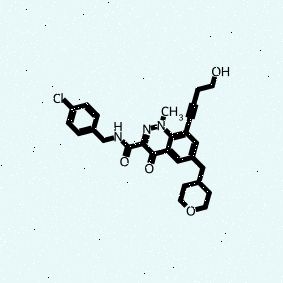 Cn1nc(C(=O)NCc2ccc(Cl)cc2)c(=O)c2cc(CC3CCOCC3)cc(C#CCCO)c21